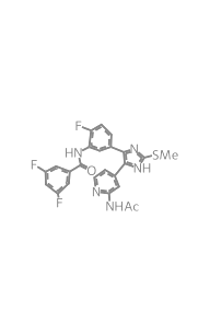 CSc1nc(-c2ccc(F)c(NC(=O)c3cc(F)cc(F)c3)c2)c(-c2ccnc(NC(C)=O)c2)[nH]1